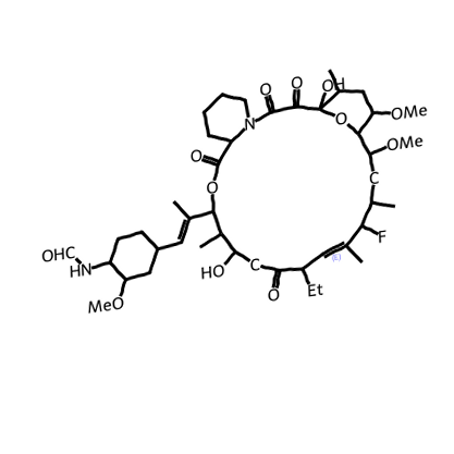 CCC1/C=C(\C)C(F)C(C)CC(OC)C2OC(O)(C(=O)C(=O)N3CCCCC3C(=O)OC(C(C)=CC3CCC(NC=O)C(OC)C3)C(C)C(O)CC1=O)C(C)CC2OC